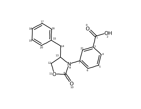 O=C(O)c1cccc(N2C(=O)OCC2Cc2ccccc2)c1